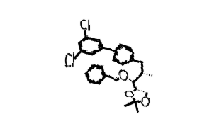 C[C@@H](Cc1ccc(-c2cc(Cl)cc(Cl)c2)cc1)[C@@H](OCc1ccccc1)[C@@H]1COC(C)(C)O1